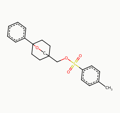 Cc1ccc(S(=O)(=O)OCC23CCC(c4ccccc4)(CC2)OC3)cc1